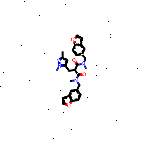 Cc1cc(CC(C(=O)N(C)Cc2ccc3occc3c2)C(=O)N(C)Cc2ccc3occc3c2)n(C)n1